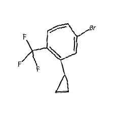 FC(F)(F)c1ccc(Br)cc1C1CC1